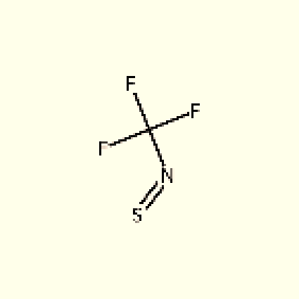 FC(F)(F)N=S